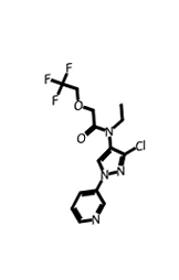 CCN(C(=O)COCC(F)(F)F)c1cn(-c2cccnc2)nc1Cl